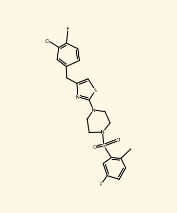 Cc1ccc(F)cc1S(=O)(=O)N1CCN(c2nc(Cc3ccc(F)c(Cl)c3)cs2)CC1